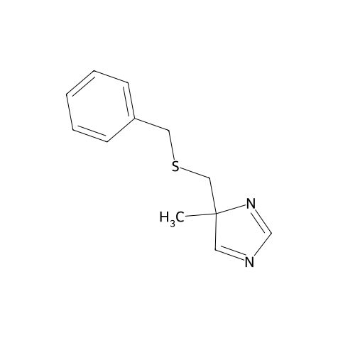 CC1(CSCc2ccccc2)C=NC=N1